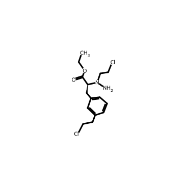 CCOC(=O)[C@H](Cc1cccc(CCCl)c1)N(N)CCCl